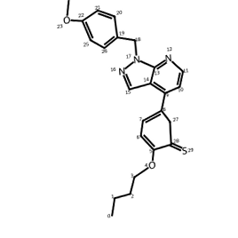 CCCCOC1=CC=C(c2ccnc3c2cnn3Cc2ccc(OC)cc2)CC1=S